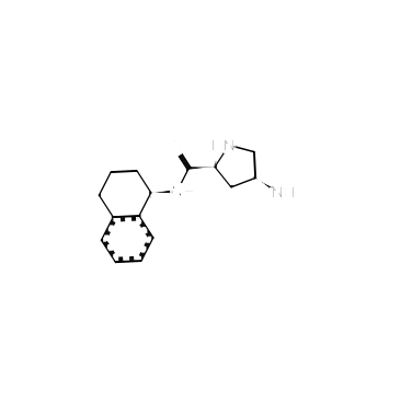 N[C@@H]1CN[C@H](C(=O)N[C@@H]2CCCc3ccccc32)C1